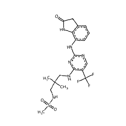 CC(C)(CNc1nc(Nc2cccc3c2NC(=O)C3)ncc1C(F)(F)F)CNS(C)(=O)=O